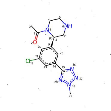 CC(=O)N1CCNC[C@H]1c1cc(Cl)cc(-c2nnn(C)n2)c1